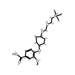 COc1cc(C(=O)O)ccc1OC1CCC(OCOCC[Si](C)(C)C)CC1